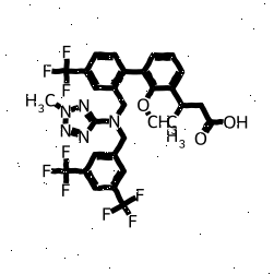 COc1c(-c2ccc(C(F)(F)F)cc2CN(Cc2cc(C(F)(F)F)cc(C(F)(F)F)c2)c2nnn(C)n2)cccc1C(C)CC(=O)O